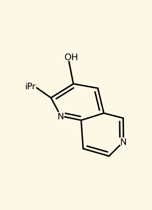 CC(C)c1nc2ccncc2cc1O